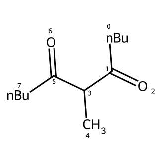 CCCCC(=O)C(C)C(=O)CCCC